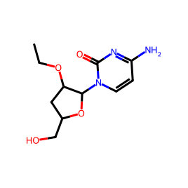 CCOC1CC(CO)OC1n1ccc(N)nc1=O